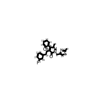 Cc1nc(Cn2nc(C)c(-c3ccccc3O)c(CCc3cccc(F)c3)c2=O)cs1